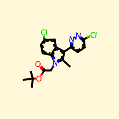 Cc1c(-c2ccc(Cl)nn2)c2cc(Cl)ccc2n1CC(=O)OC(C)(C)C